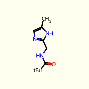 Cc1cnc(CNC(=O)C(C)(C)C)[nH]1